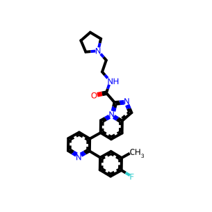 Cc1cc(-c2ncccc2-c2ccc3cnc(C(=O)NCCN4CCCC4)n3c2)ccc1F